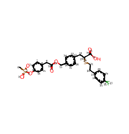 CS(=O)(=O)Oc1ccc(CC(=O)OCc2ccc(CC(SCCc3ccc(F)cc3)C(=O)O)cc2)cc1